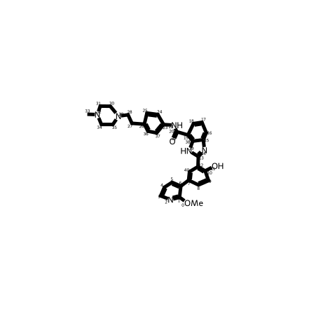 COc1ncccc1-c1ccc(O)c(-c2nc3cccc(C(=O)Nc4ccc(CCN5CCN(C)CC5)cc4)c3[nH]2)c1